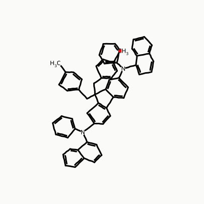 Cc1ccc(CC2(Cc3ccc(C)cc3)c3cc(N(c4ccccc4)c4cccc5ccccc45)ccc3-c3ccc(N(c4ccccc4)c4cccc5ccccc45)cc32)cc1